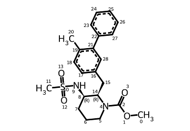 COC(=O)N1CCC[C@@H](NS(C)(=O)=O)[C@H]1Cc1ccc(C)c(-c2ccccc2)c1